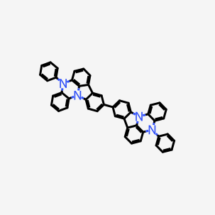 c1ccc(N2c3ccccc3-n3c4ccc(-c5ccc6c(c5)c5cccc7c5n6-c5ccccc5N7c5ccccc5)cc4c4cccc2c43)cc1